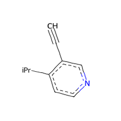 C#Cc1cnccc1C(C)C